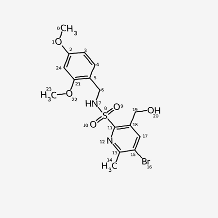 COc1ccc(CNS(=O)(=O)c2nc(C)c(Br)cc2CO)c(OC)c1